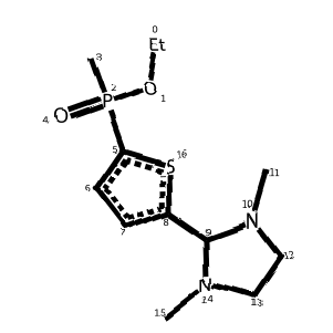 CCOP(C)(=O)c1ccc(C2N(C)CCN2C)s1